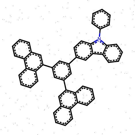 c1ccc(-n2c3ccccc3c3cc(-c4cc(-c5cc6ccccc6c6ccccc56)cc(-c5cc6ccccc6c6ccccc56)c4)ccc32)cc1